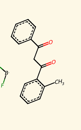 Cc1ccccc1C(=O)CC(=O)c1ccccc1.F[B]F